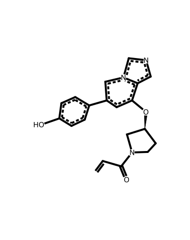 C=CC(=O)N1CC[C@H](Oc2cc(-c3ccc(O)cc3)cn3cncc23)C1